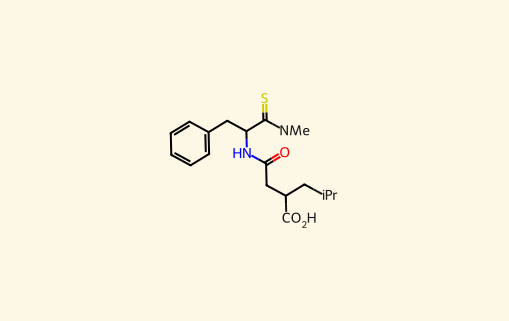 CNC(=S)C(Cc1ccccc1)NC(=O)CC(CC(C)C)C(=O)O